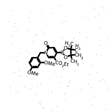 CCOC(=O)c1cn(Cc2ccc(OC)cc2OC)c(=O)cc1B1OC(C)(C)C(C)(C)O1